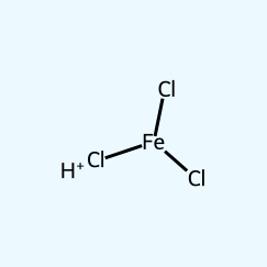 [Cl][Fe]([Cl])[Cl].[H+]